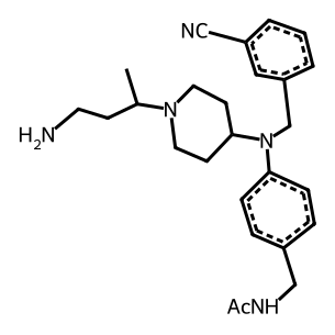 CC(=O)NCc1ccc(N(Cc2cccc(C#N)c2)C2CCN(C(C)CCN)CC2)cc1